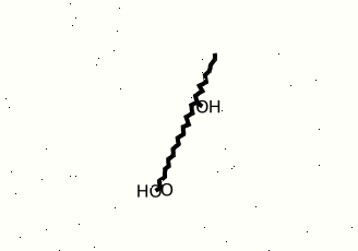 CCCCCCCCCC(O)CCCCCCCCCCCCCCCC(=O)O